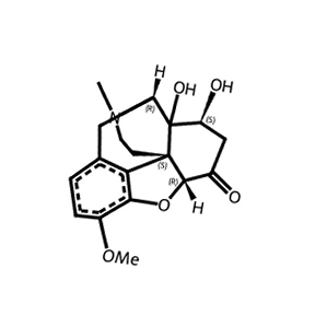 COc1ccc2c3c1O[C@H]1C(=O)C[C@H](O)C4(O)[C@@H](C2)N(C)CC[C@]314